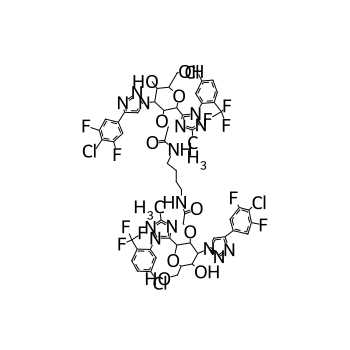 Cc1nc(C2OC(CO)C(O)C(n3cc(-c4cc(F)c(Cl)c(F)c4)nn3)C2OCC(=O)NCCCCNC(=O)COC2C(c3nc(C)nn3-c3cc(Cl)ccc3C(F)(F)F)OC(CO)C(O)C2n2cc(-c3cc(F)c(Cl)c(F)c3)nn2)n(-c2cc(Cl)ccc2C(F)(F)F)n1